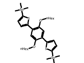 CCCCCCOc1cc(-c2cc[c]([Sn]([CH3])([CH3])[CH3])s2)c(OCCCCCC)cc1-c1cc[c]([Sn]([CH3])([CH3])[CH3])s1